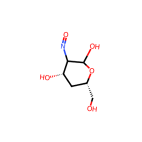 O=NC1C(O)O[C@H](CO)C[C@@H]1O